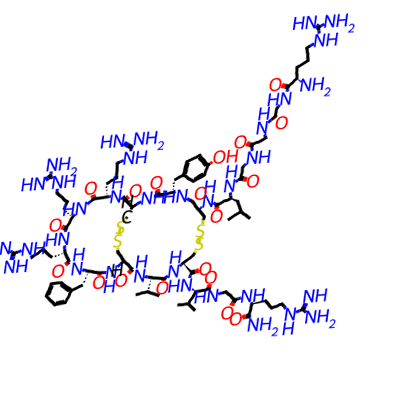 CC(C)C[C@H](NC(=O)CNC(=O)CNC(=O)CNC(=O)[C@@H](N)CCCNC(=N)N)C(=O)N[C@H]1CSSC[C@@H](C(=O)N[C@H](C(=O)NCC(=O)N[C@@H](CCCNC(=N)N)C(N)=O)C(C)C)NC(=O)[C@H](C(C)C)NC(=O)[C@@H]2CSSC[C@H](NC(=O)[C@H](Cc3ccc(O)cc3)NC1=O)C(=O)N[C@@H](CCCNC(=N)N)C(=O)N[C@@H](CCCNC(=N)N)C(=O)N[C@@H](CCCNC(=N)N)C(=O)N[C@@H](Cc1ccccc1)C(=O)N2